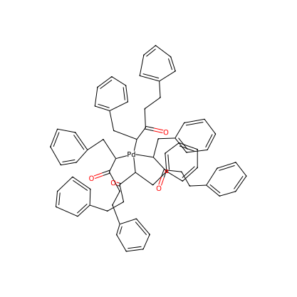 O=C(CCc1ccccc1)[CH](Cc1ccccc1)[Pd]([CH](Cc1ccccc1)C(=O)CCc1ccccc1)([CH](Cc1ccccc1)C(=O)CCc1ccccc1)[CH](Cc1ccccc1)C(=O)CCc1ccccc1